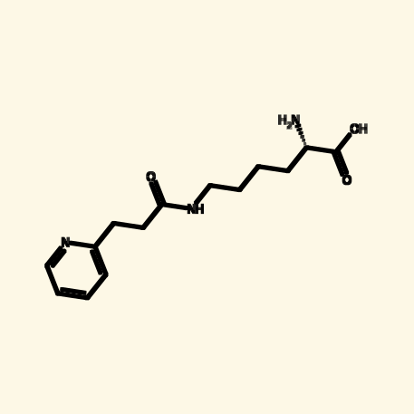 N[C@@H](CCCCNC(=O)CCc1ccccn1)C(=O)O